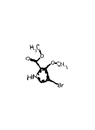 COC(=O)c1[nH]cc(Br)c1OC